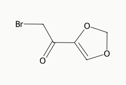 O=C(CBr)C1=COCO1